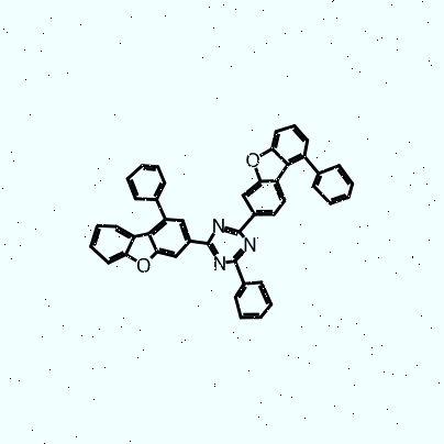 c1ccc(-c2nc(-c3ccc4c(c3)oc3cccc(-c5ccccc5)c34)nc(-c3cc(-c4ccccc4)c4c(c3)oc3ccccc34)n2)cc1